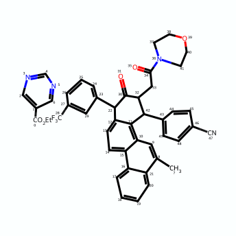 CCOC(=O)c1cncnc1.Cc1cc2c3c(ccc2c2ccccc12)C(c1cccc(C(F)(F)F)c1)C(=O)C(CC(=O)N1CCOCC1)C3c1ccc(C#N)cc1